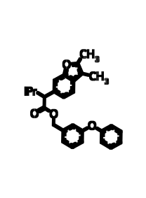 Cc1oc2cc(C(C(=O)OCc3cccc(Oc4ccccc4)c3)C(C)C)ccc2c1C